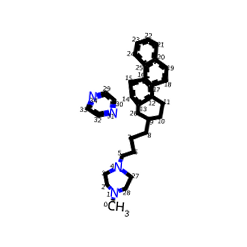 CN1CCN(CCCCC2CCc3c(ccc4c3ccc3ccccc34)C2)CC1.c1cnccn1